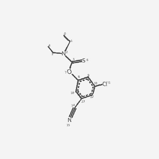 CCN(CC)C(=S)Oc1cc(Cl)cc(C#N)c1